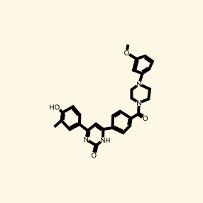 COc1cccc(N2CCN(C(=O)c3ccc(-c4cc(-c5ccc(O)c(C)c5)nc(=O)[nH]4)cc3)CC2)c1